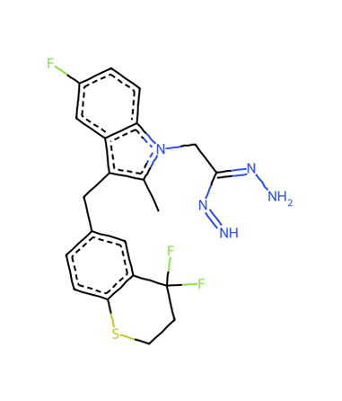 Cc1c(Cc2ccc3c(c2)C(F)(F)CCS3)c2cc(F)ccc2n1C/C(N=N)=N/N